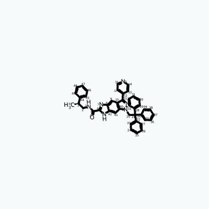 C[C@H](CNC(=O)c1nc2cc3c(-c4ccncc4)nn(CC(c4ccccc4)(c4ccccc4)c4ccccc4)c3cc2[nH]1)c1ccccc1